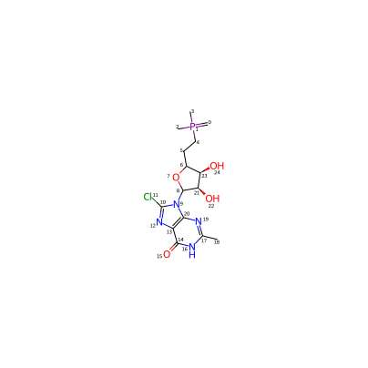 C=P(C)(C)CCC1OC(n2c(Cl)nc3c(=O)[nH]c(C)nc32)[C@H](O)[C@@H]1O